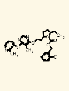 CCC1CCC(CCOc2ncnc(Oc3cccnc3C)c2C)N1C(=O)OCc1ccccc1Cl